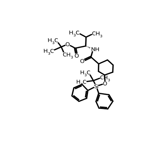 CC(C)[C@H](NC(=O)C1CCCC(O[Si](c2ccccc2)(c2ccccc2)C(C)(C)C)C1)C(=O)OC(C)(C)C